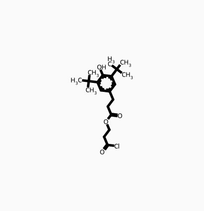 CC(C)(C)c1cc(CCC(=O)OCCC(=O)Cl)cc(C(C)(C)C)c1O